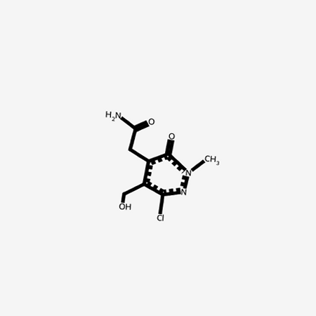 Cn1nc(Cl)c(CO)c(CC(N)=O)c1=O